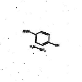 CNc1ccc(O)cc1.NN